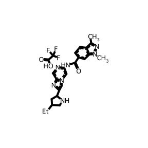 CCC1CNC(c2cn3cc(NC(=O)c4ccc5c(C)nn(C)c5c4)ncc3n2)C1.O=C(O)C(F)(F)F